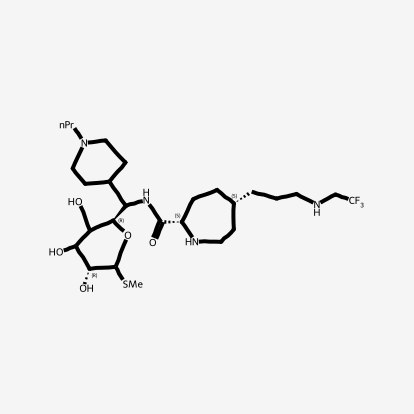 CCCN1CCC(C(NC(=O)[C@@H]2CC[C@H](CCCNCC(F)(F)F)CCN2)[C@H]2OC(SC)[C@H](O)C(O)C2O)CC1